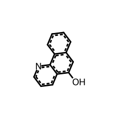 Oc1cc2ccccc2c2ncccc12